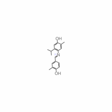 Cc1cc(/C=N/c2cc(C)c(O)cc2C(C)C)ccc1O